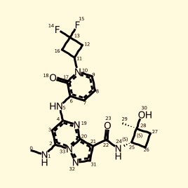 CNc1cc(Nc2cccn(C3CC(F)(F)C3)c2=O)nc2c(C(=O)N[C@H]3CC[C@]3(C)O)cnn12